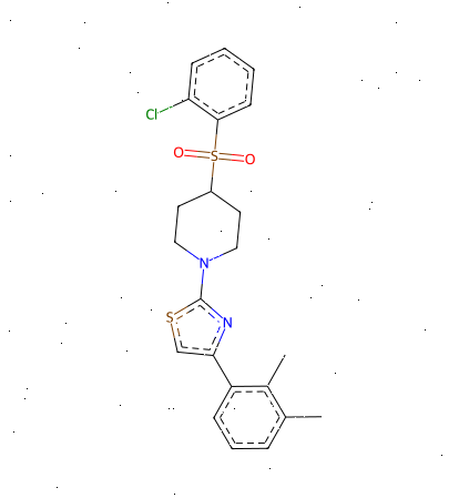 Cc1cccc(-c2csc(N3CCC(S(=O)(=O)c4ccccc4Cl)CC3)n2)c1C